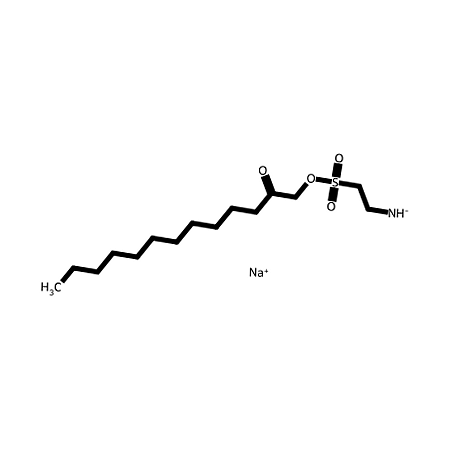 CCCCCCCCCCCC(=O)COS(=O)(=O)CC[NH-].[Na+]